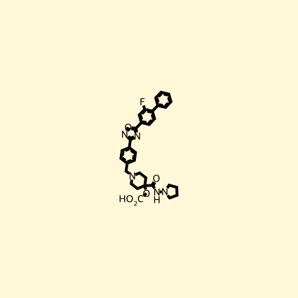 O=C(O)OC1(C(=O)NN2CCCC2)CCN(Cc2ccc(-c3noc(-c4ccc(-c5ccccc5)c(F)c4)n3)cc2)CC1